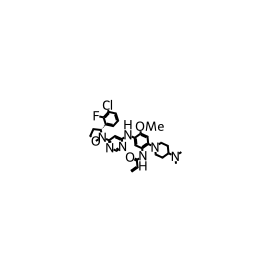 C=CC(=O)Nc1cc(Nc2cc(N3OCC[C@@H]3c3cccc(Cl)c3F)ncn2)c(OC)cc1N1CCC(N(C)C)CC1